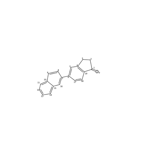 O=C1CCc2cc(-c3ccc4ccccc4c3)ccc21